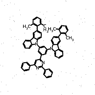 Cc1cccc(C)c1-c1ccc2c(c1)c1ccccc1n2-c1cc(-c2cc(-c3ccccc3)nc(-c3ccccc3)n2)cc(-n2c3ccccc3c3cc(-c4c(C)cccc4C)ccc32)c1